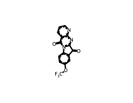 O=C1c2cc(OC(F)(F)F)ccc2-n2c1nc1ncccc1c2=O